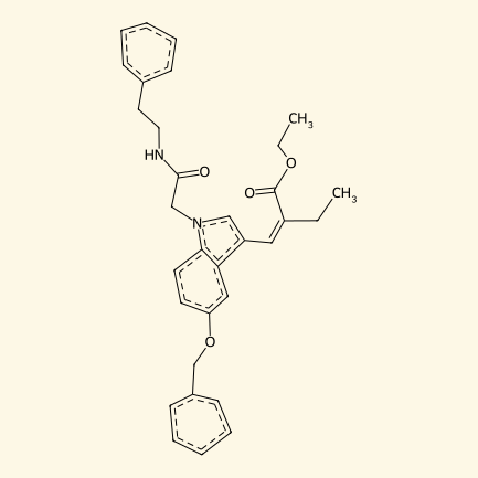 CCOC(=O)C(=Cc1cn(CC(=O)NCCc2ccccc2)c2ccc(OCc3ccccc3)cc12)CC